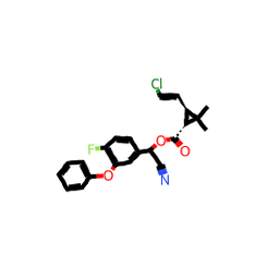 CC1(C)[C@H](C=CCl)[C@H]1C(=O)OC(C#N)c1ccc(F)c(Oc2ccccc2)c1